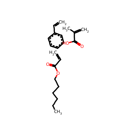 C=C(C)C(=O)O.C=CC(=O)OCCCCCC.C=Cc1ccccc1